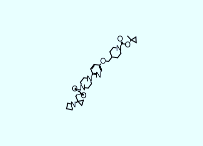 CC1(OC(=O)N2CCC(COc3ccc(N4CCN(S(=O)(=O)CC5(N6CCC6)CC5)CC4)nc3)CC2)CC1